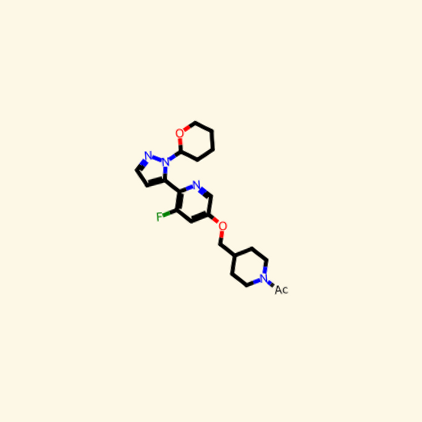 CC(=O)N1CCC(COc2cnc(-c3ccnn3C3CCCCO3)c(F)c2)CC1